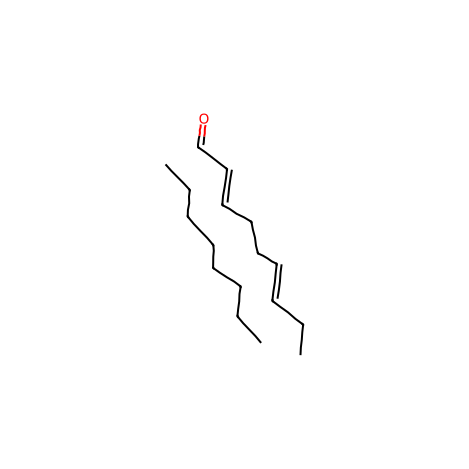 CC/C=C/CC/C=C/C=O.CCCCCCCC